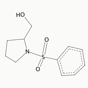 O=S(=O)(c1ccccc1)N1CCCC1CO